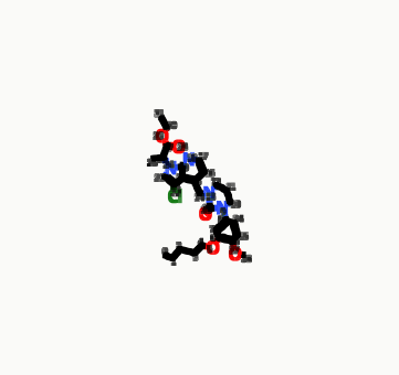 CCCCCOc1cc(N2CCCN(Cc3ccnc4c3c(Cl)cn4C(C)C(=O)OCC)C2=O)ccc1OC